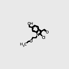 CCOCCn1c(Cl)c(C=O)c2ccc(CO)cc21